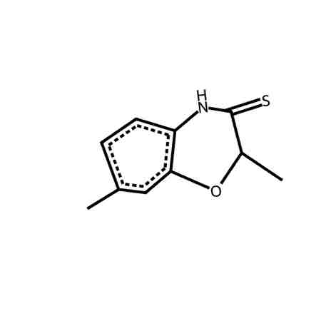 Cc1ccc2c(c1)OC(C)C(=S)N2